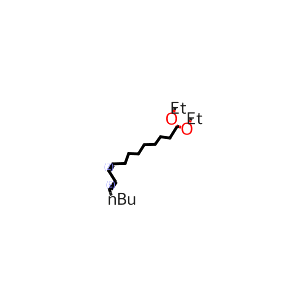 CCCC/C=C/C=C\CCCCCCCC(OCC)OCC